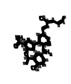 C\C=C/C=C(Cl)\C=C\c1cnc(N)c(-c2cc(OC(C)c3ccccc3Cl)c(C(N)=O)s2)c1